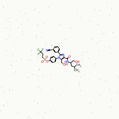 CC(C)CC(CO)NC(=O)c1nc(-c2cccc(C#N)c2)n(-c2ccc(OS(=O)(=O)CCC(F)(F)F)cc2)c1CO